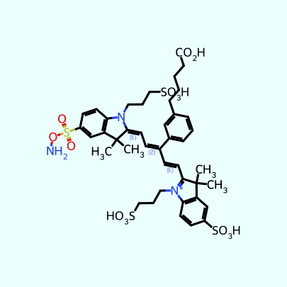 CC1(C)C(/C=C/C(=C/C=C2/N(CCCS(=O)(=O)O)c3ccc(S(=O)(=O)ON)cc3C2(C)C)c2cccc(CCCCC(=O)O)c2)=[N+](CCCS(=O)(=O)O)c2ccc(S(=O)(=O)O)cc21